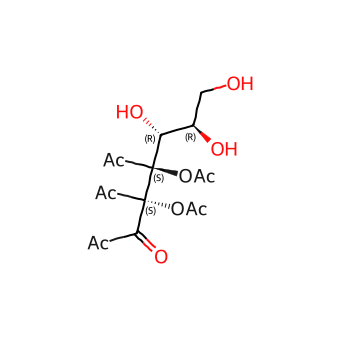 CC(=O)O[C@@](C(C)=O)(C(=O)C(C)=O)[C@](OC(C)=O)(C(C)=O)[C@H](O)[C@H](O)CO